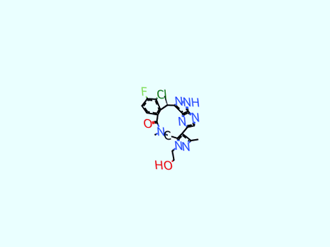 Cc1nn(CCO)c2c1-c1cnc3[nH]nc(c3n1)[C@H](C)c1c(ccc(F)c1Cl)C(=O)N(C)C2